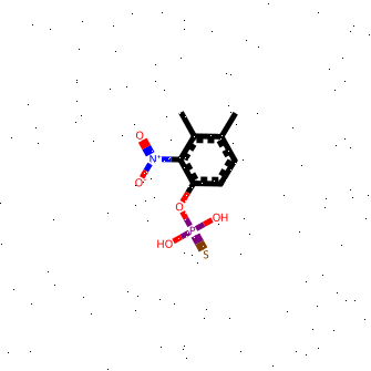 Cc1ccc(OP(O)(O)=S)c([N+](=O)[O-])c1C